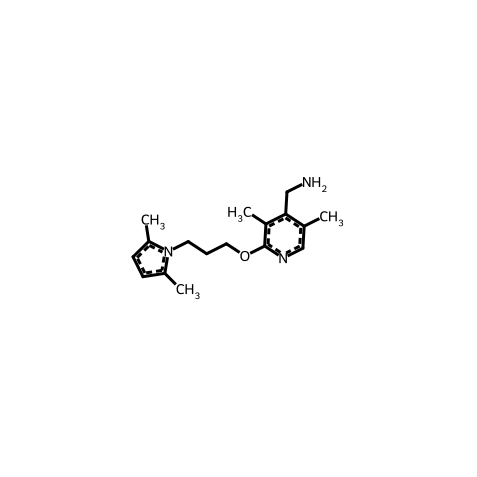 Cc1cnc(OCCCn2c(C)ccc2C)c(C)c1CN